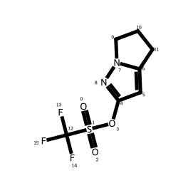 O=S(=O)(Oc1cc2n(n1)CCC2)C(F)(F)F